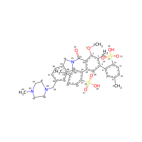 COc1c(C)c(-c2cc(C)ccc2S(=O)(=O)O)cc(-c2cc(C)ccc2S(=O)(=O)O)c1C(=O)N1Cc2ccc(CN3CCN(C)CC3)cc2C1